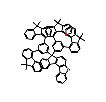 CC1(C)c2ccccc2-c2c(-c3cc(-c4cccc5c4-c4ccccc4C5(C)C)cc(C4(c5cc(-c6cccc7c6-c6ccccc6C7(C)C)cc(-c6cccc7c6-c6ccccc6C7(C)C)c5)c5ccccc5-c5c4ccc4oc6ccccc6c54)c3)cccc21